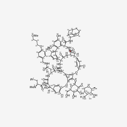 CN[C@@H](CC(C)C)C(=O)N[C@H]1C(=O)N[C@@H](CC(=O)NSc2ccc(OCCCOC)cc2)C(=O)N[C@H]2C(=O)N[C@@H]3C(=O)N[C@@H](C(=O)N[C@H](C(=O)NC4C5CC6CC(C5)CC4C6)c4cc(O)cc(O)c4-c4cc3ccc4O)[C@@H](O)c3ccc(c(Cl)c3)Oc3cc2cc(c3O[C@@H]2O[C@H](CO)[C@H](O)[C@H](O)[C@@H]2O[C@H]2C[C@](C)(N)[C@H](O)[C@H](C)O2)Oc2ccc(cc2Cl)[C@H]1O